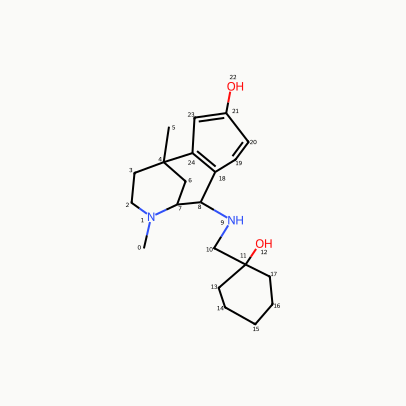 CN1CCC2(C)CC1C(NCC1(O)CCCCC1)c1ccc(O)cc12